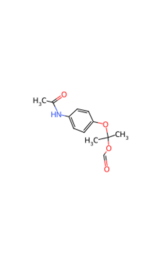 CC(=O)Nc1ccc(OC(C)(C)OC=O)cc1